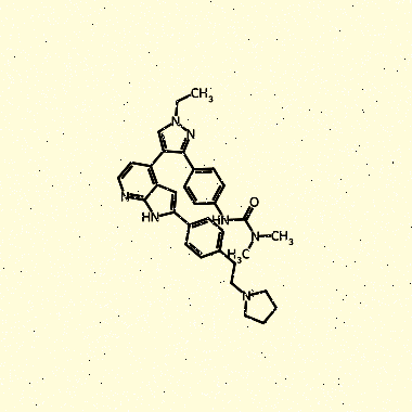 CCn1cc(-c2ccnc3[nH]c(-c4ccc(CCN5CCCC5)cc4)cc23)c(-c2ccc(NC(=O)N(C)C)cc2)n1